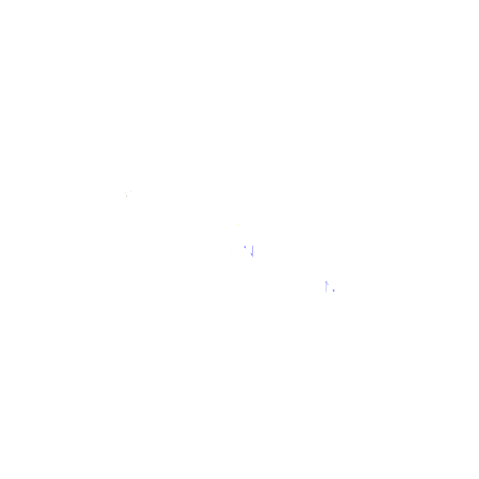 CN1CCC(NSc2ccc(Br)cc2)CC1